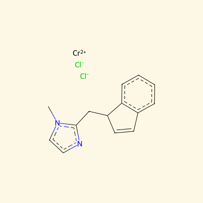 Cn1ccnc1CC1C=Cc2ccccc21.[Cl-].[Cl-].[Cr+2]